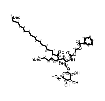 CCCCCCCCCCCCCCCCCCCCCCCCCC(=O)[C@@](O)(CCCCCCCCCCCCCC)[C@@H](O)[C@H](CO[C@H]1O[C@H](CO)[C@H](O)[C@H](O)[C@H]1O)NC(=O)OCOC(=O)c1ccccc1